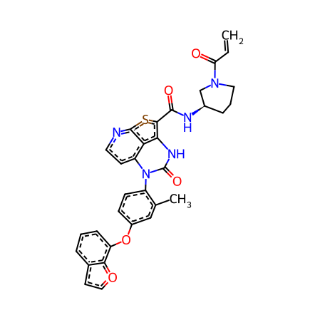 C=CC(=O)N1CCC[C@@H](NC(=O)c2sc3nccc4c3c2NC(=O)N4c2ccc(Oc3cccc4ccoc34)cc2C)C1